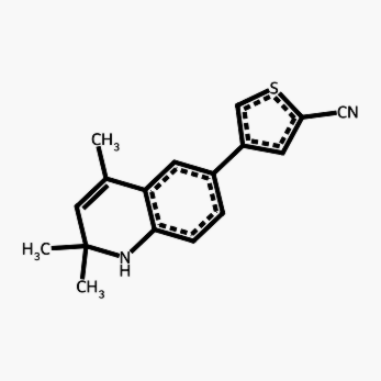 CC1=CC(C)(C)Nc2ccc(-c3csc(C#N)c3)cc21